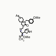 C=N/C(OC)=C(\C=N/CN1CC2(CCN(C(C)=O)CC2)N(Cc2cccc(OC)c2)C1=O)C1C=NNC1